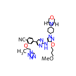 COCCCCOc1nn([C@H]2CC[C@H](N3[C@@H]4CC[C@@H]3COC4)CC2)cc1Nc1ncc(-c2ccc(C#N)c(O[C@@H](C)Cn3cnnn3)c2)cn1